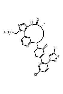 C[C@@H]1CCC[C@H](N2CCC(c3cc(Cl)ccc3-n3cc(Cl)nn3)=CC2=O)c2cc(ccn2)-c2c(cnn2CC(=O)O)NC1=O